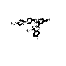 CC(NC(=O)c1cc(C#N)cnc1NCC1CCN(c2cnc(N)cn2)CC1)c1ccc(F)cc1